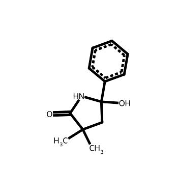 CC1(C)CC(O)(c2ccccc2)NC1=O